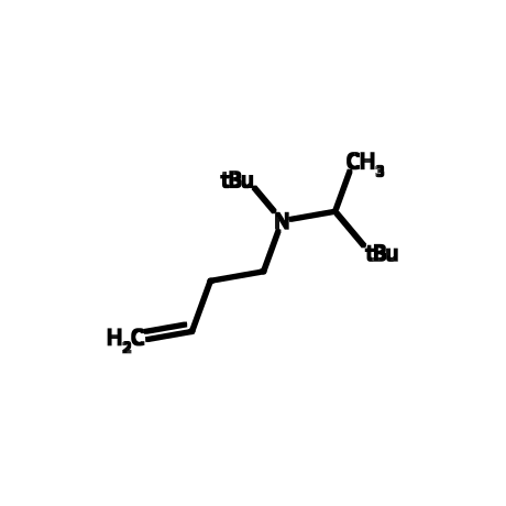 C=CCCN(C(C)C(C)(C)C)C(C)(C)C